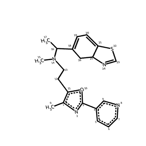 Cc1nc(-c2cccnc2)oc1CCN(C)C(C)C1=CC=C2SC=NC2C1